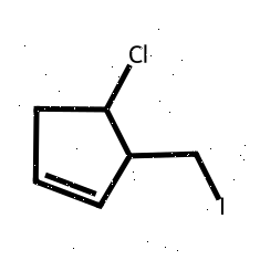 ClC1CC=CC1CI